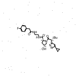 CC(C)(C)[C@@H](C(=O)N1C[C@H](O)C[C@H]1C(=O)NCCNC(=O)Cc1ccc(F)cc1)n1cc(C2CC2)nn1